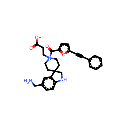 NCc1ccc2c(c1)C1(CC[N+](CCC(=O)O)(C(=O)c3ccc(C#Cc4ccccc4)o3)CC1)CN2